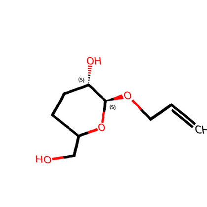 C=CCO[C@H]1OC(CO)CC[C@@H]1O